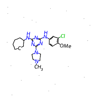 COc1ccc(Nc2nc(NC3CCCCCC3)nc(N3CCN(C)CC3)n2)cc1Cl